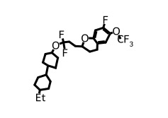 CCC1CCC(C2CCC(OC(F)(F)CCC3CCc4cc(OC(F)(F)F)c(F)cc4O3)CC2)CC1